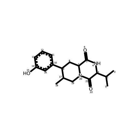 CC(C)C1NC(=O)C2CC(c3cccc(O)c3)C(C)CN2C1=O